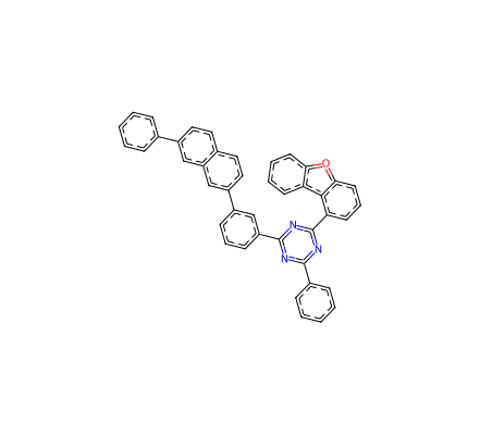 c1ccc(-c2ccc3ccc(-c4cccc(-c5nc(-c6ccccc6)nc(-c6cccc7oc8ccccc8c67)n5)c4)cc3c2)cc1